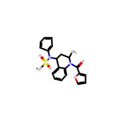 CC1CC(N(c2ccccc2)S(C)(=O)=O)c2ccccc2N1C(=O)c1ccco1